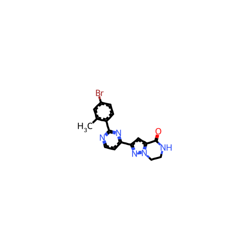 Cc1cc(Br)ccc1-c1nccc(-c2cc3n(n2)CCNC3=O)n1